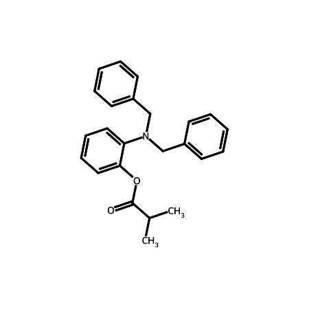 CC(C)C(=O)Oc1ccccc1N(Cc1ccccc1)Cc1ccccc1